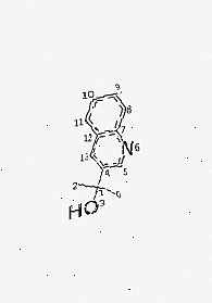 CC(C)(O)c1cnc2c[c]ccc2c1